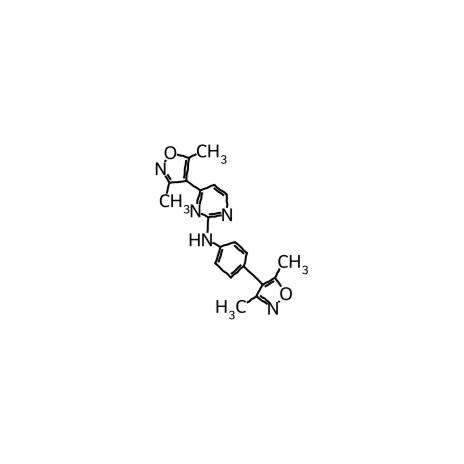 Cc1noc(C)c1-c1ccc(Nc2nccc(-c3c(C)noc3C)n2)cc1